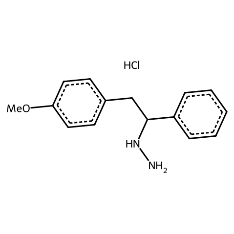 COc1ccc(CC(NN)c2ccccc2)cc1.Cl